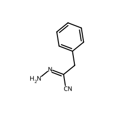 N#CC(Cc1ccccc1)=NN